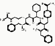 CN(Cc1ccccc1)C(=O)C(Cc1ccc(C(=N)N)cc1)C(=O)NC(C(=O)N[C@@H](CCCNC(=N)N)C(=O)N(C)Cc1ccccc1)C1CCCCC1